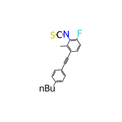 CCCCc1ccc(C#Cc2ccc(F)c(N=C=S)c2C)cc1